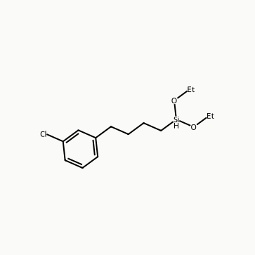 CCO[SiH](CCCCc1cccc(Cl)c1)OCC